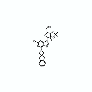 CC1(C)OC2[C@@H](CO)O[C@@H](n3cnc4c(N5CC6(Cc7ccccc7C6)C5)nc(Cl)nc43)[C@H]2O1